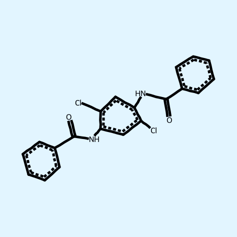 O=C(Nc1cc(Cl)c(NC(=O)c2ccccc2)cc1Cl)c1ccccc1